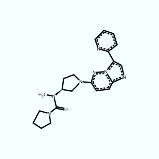 CN(C(=O)N1CCCC1)[C@H]1CCN(c2ccc3ncc(-c4ccccn4)n3n2)C1